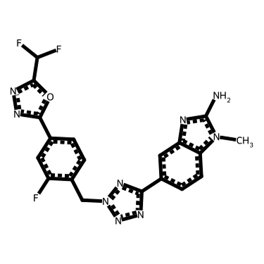 Cn1c(N)nc2cc(-c3nnn(Cc4ccc(-c5nnc(C(F)F)o5)cc4F)n3)ccc21